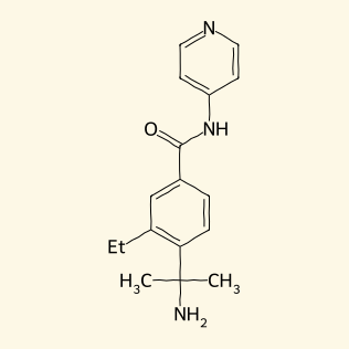 CCc1cc(C(=O)Nc2ccncc2)ccc1C(C)(C)N